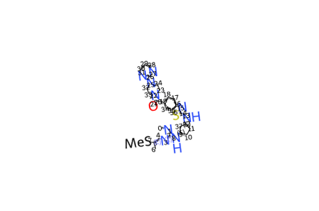 C=N/C(=N\C=C(/C)SC)N[C@H]1CC[C@H](Nc2nc3ccc(C(=O)N4CCN(c5ncccn5)CC4)cc3s2)C1